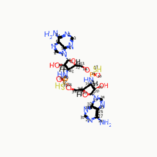 NC1=NC=NC2C1N=CN2[C@@H]1O[C@@H]2COP(=O)(S)N[C@H]3[C@@H](O)[C@H](n4cnc5c(N)ncnc54)O[C@@H]3COP(=O)(S)N[C@H]2[C@H]1O